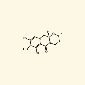 C[C@@H]1CCN2C(=O)C3=C(O)C(O)C(O)=CN3C[C@@H]2O1